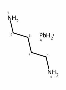 NCCCCN.[PbH2]